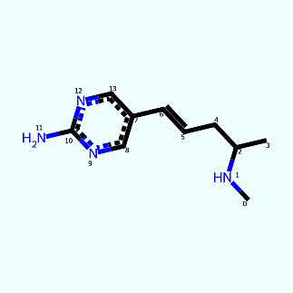 CNC(C)CC=Cc1cnc(N)nc1